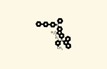 Cc1cccc(N(c2ccc3c(c2)C(C)(C)c2cc(N(c4ccccc4)c4ccc(-c5ccc(-c6ccccc6)cc5)cc4)ccc2-3)c2cc3ccccc3c3ccccc23)c1